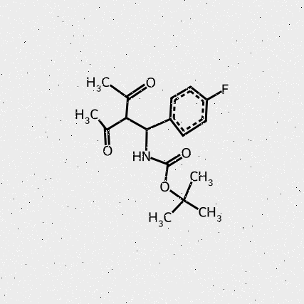 CC(=O)C(C(C)=O)C(NC(=O)OC(C)(C)C)c1ccc(F)cc1